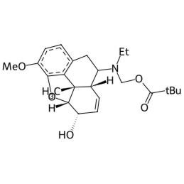 CCN(COC(=O)C(C)(C)C)C1Cc2ccc(OC)c3c2[C@]2(C)[C@H]1C=C[C@H](O)[C@@H]2O3